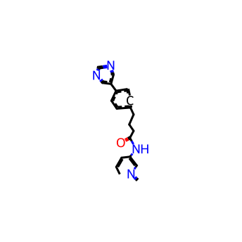 C=N/C=C(\C=C/C)NC(=O)CCCc1ccc(-c2cncnc2)cc1